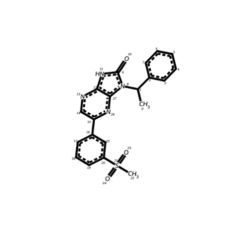 CC(c1ccccc1)n1c(=O)[nH]c2ncc(-c3cccc(S(C)(=O)=O)c3)nc21